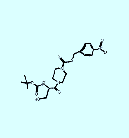 CC(C)(C)OC(=O)NC(CO)C(=O)N1CCN(C(=S)SCc2ccc([N+](=O)[O-])cc2)CC1